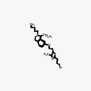 C=CCCCN1CCc2ccc(OCCc3nc(/C=C/CC(C)C)oc3C)cc2C1C(=O)O